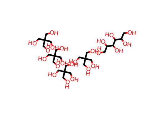 OCC(CO)(CO)CO.OCC(CO)(CO)CO.OCC(CO)(CO)CO.OCC(CO)(CO)CO.OCC(O)C(O)C(O)C(O)CO